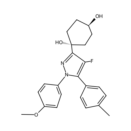 COc1ccc(-n2nc([C@]3(O)CC[C@H](O)CC3)c(F)c2-c2ccc(C)cc2)cc1